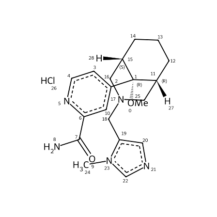 CO[C@@]1(c2ccnc(C(N)=O)c2)[C@@H]2CCC[C@H]1CN(Cc1cncn1C)C2.Cl